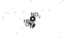 O=c1[nH]c2cc([N+](=O)[O-])ccc2n2ccnc12